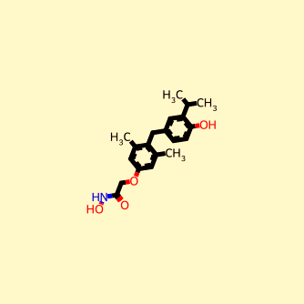 Cc1cc(OCC(=O)NO)cc(C)c1Cc1ccc(O)c(C(C)C)c1